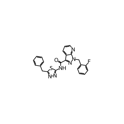 O=C(Nc1nnc(Cc2ccccc2)s1)c1nn(Cc2ccccc2F)c2ncccc12